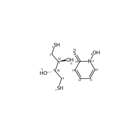 O[C@H](CS)[C@@H](O)CS.On1ccccc1=S